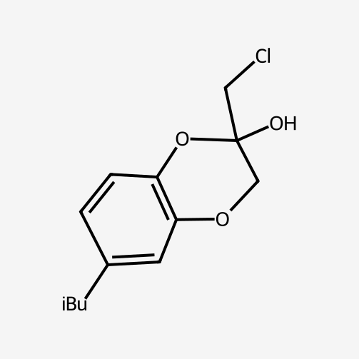 CCC(C)c1ccc2c(c1)OCC(O)(CCl)O2